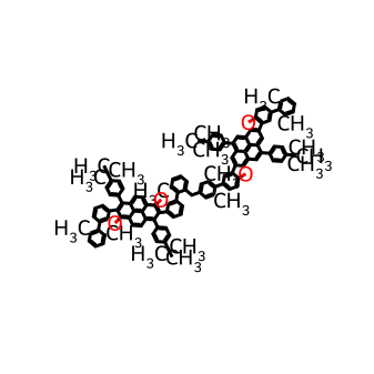 Cc1cccc(C)c1-c1ccc2oc3c(cc4c(-c5ccc(C(C)(C)C)cc5)cc5c6oc7ccc(-c8c(C)cc(Cc9cccc(C)c9-c9cccc%10c9oc9c%11ccc%12c(-c%13ccc(C(C)(C)C)cc%13)c%13c%14cccc(-c%15c(C)cccc%15C)c%14oc%13c%13ccc(c(-c%14ccc(C(C)(C)C)cc%14)c%109)c%11c%12%13)cc8C)cc7c6cc6c(-c7ccc(C(C)(C)C)cc7)cc3c4c65)c2c1